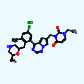 Cc1cc(Cl)cc(-c2ncnn3cc(Cn4c(=O)ccn(CC(F)(F)F)c4=O)cc23)c1CC1CNC[C@H](C)O1.Cl